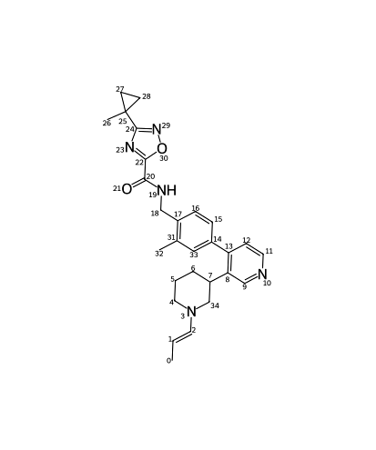 CC=CN1CCCC(c2cnccc2-c2ccc(CNC(=O)c3nc(C4(C)CC4)no3)c(C)c2)C1